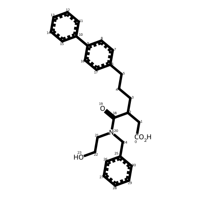 O=C(O)CC(CCCc1ccc(-c2ccccc2)cc1)C(=O)N(CCO)Cc1ccccc1